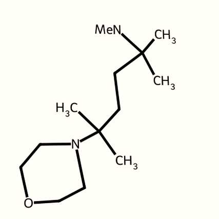 CNC(C)(C)CCC(C)(C)N1CCOCC1